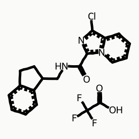 O=C(NCC1CCc2ccccc21)c1nc(Cl)c2ccccn12.O=C(O)C(F)(F)F